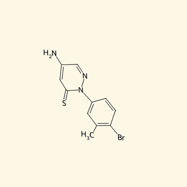 Cc1cc(-n2ncc(N)cc2=S)ccc1Br